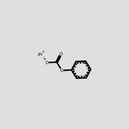 [CH2][C@@H](C)OC(=O)Oc1ccccc1